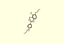 CCCCc1ccc(OC(=O)c2ccc(OCCC)cc2)c(F)c1F